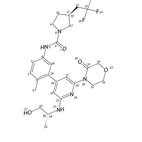 Cc1ccc(NC(=O)N2CC[C@@H](CC(F)(F)F)C2)cc1-c1cc(N[C@H](C)CO)nc(N2CCOCC2=O)c1